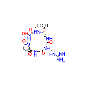 N=C(N)NCCC[C@@H]1NC(=O)CNC(=O)[C@@H]2CCCN2C(=O)[C@H](CO)NC(=O)[C@H](CC(=O)O)NC(=O)CNC1=O